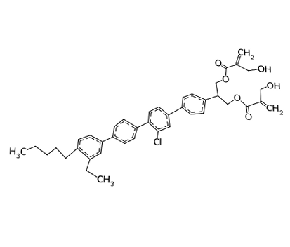 C=C(CO)C(=O)OCC(COC(=O)C(=C)CO)c1ccc(-c2ccc(-c3ccc(-c4ccc(CCCCC)c(CC)c4)cc3)c(Cl)c2)cc1